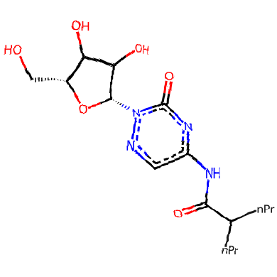 CCCC(CCC)C(=O)Nc1cnn([C@@H]2O[C@H](CO)C(O)C2O)c(=O)n1